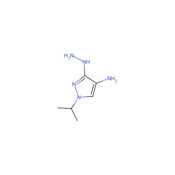 CC(C)n1cc(N)c(NN)n1